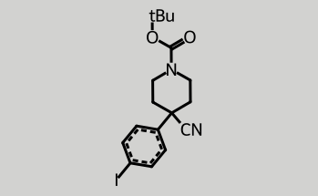 CC(C)(C)OC(=O)N1CCC(C#N)(c2ccc(I)cc2)CC1